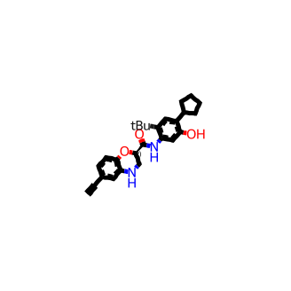 C#Cc1ccc2c(c1)NC[C@H](C(=O)Nc1cc(O)c(C3CCCC3)cc1C(C)(C)C)O2